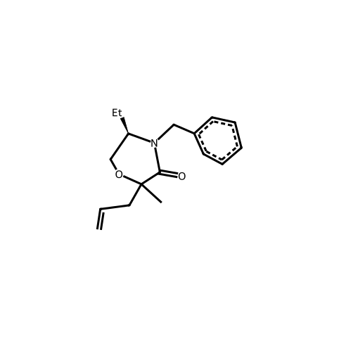 C=CCC1(C)OC[C@@H](CC)N(Cc2ccccc2)C1=O